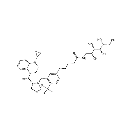 O=C(CCCCc1ccc(C(F)(F)F)c(CN2CSC[C@H]2C(=O)N2CCN(C3CC3)c3ccccc32)c1)NC[C@H](O)[C@@H](O)[C@H](O)[C@H](O)CO